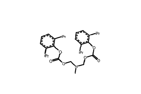 CC(C)c1cccc(C(C)C)c1OC(=O)OCN(C)COC(=O)Oc1c(C(C)C)cccc1C(C)C